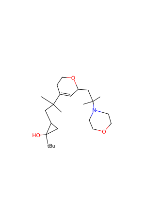 CC(C)(CC1CC1(O)C(C)(C)C)C1=CC(CC(C)(C)N2CCOCC2)OCC1